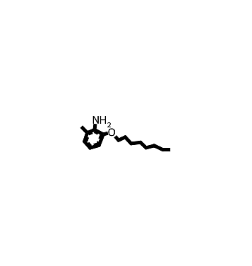 CCCCCCCCOc1cccc(C)c1N